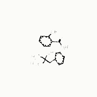 CC(C)(N)Cc1ccccc1.O=C(O)c1ccccc1O